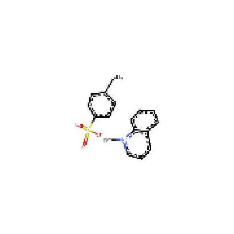 CCC[n+]1cccc2ccccc21.Cc1ccc(S(=O)(=O)[O-])cc1